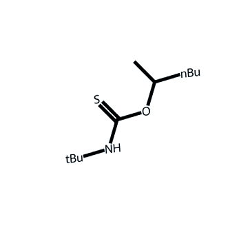 CCCCC(C)OC(=S)NC(C)(C)C